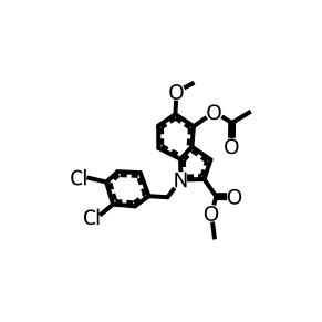 COC(=O)c1cc2c(OC(C)=O)c(OC)ccc2n1Cc1ccc(Cl)c(Cl)c1